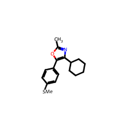 CSc1ccc(-c2oc(C)nc2C2CCCCC2)cc1